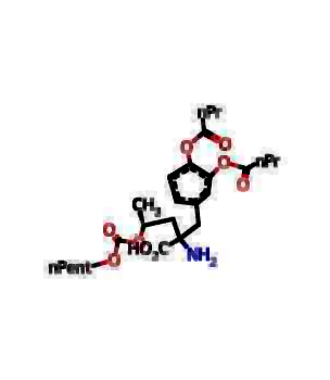 CCCCCOC(=O)O[C@@H](C)CC(N)(Cc1ccc(OC(=O)CCC)c(OC(=O)CCC)c1)C(=O)O